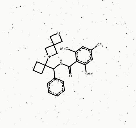 COc1cc(C(F)(F)F)cc(SC)c1C(=O)NC(c1ccccc1)C1(N2CC3(COC3)C2)CCC1